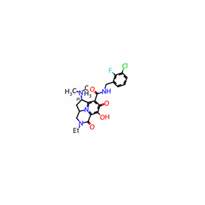 CCN1CC2C[C@@H](N(C)C)c3c(C(=O)NCc4cccc(Cl)c4F)c(=O)c(O)c(n32)C1=O